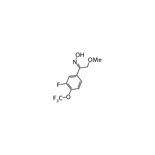 COCC(=NO)c1ccc(OC(F)(F)F)c(F)c1